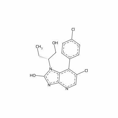 CC[C@H](CO)n1c(O)nc2ncc(Cl)c(-c3ccc(Cl)cc3)c21